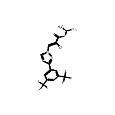 CC(C)OC(=O)C(Cl)=Cn1cnc(-c2cc(C(F)(F)F)cc(C(F)(F)F)c2)n1